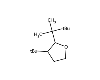 CC(C)(C)C1CCOC1C(C)(C)C(C)(C)C